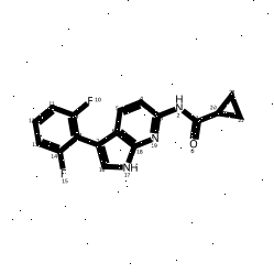 O=C(Nc1ccc2c(-c3c(F)cccc3F)c[nH]c2n1)C1CC1